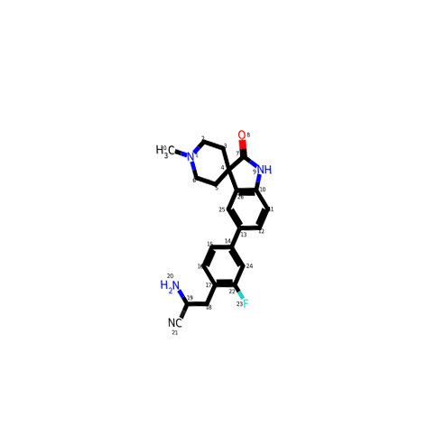 CN1CCC2(CC1)C(=O)Nc1ccc(-c3ccc(CC(N)C#N)c(F)c3)cc12